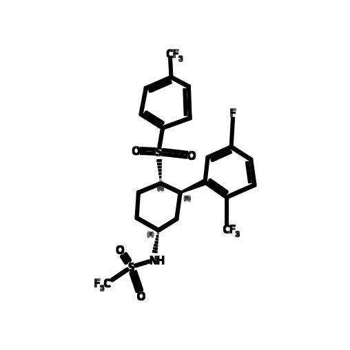 O=S(=O)(c1ccc(C(F)(F)F)cc1)[C@H]1CC[C@@H](NS(=O)(=O)C(F)(F)F)C[C@@H]1c1cc(F)ccc1C(F)(F)F